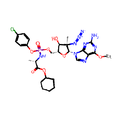 CCOc1nc(N)nc2c1ncn2[C@@H]1O[C@H](COP(=O)(N[C@@H](C)C(=O)OC2CCCCC2)Oc2ccc(Cl)cc2)[C@@H](O)[C@@]1(C)N=[N+]=[N-]